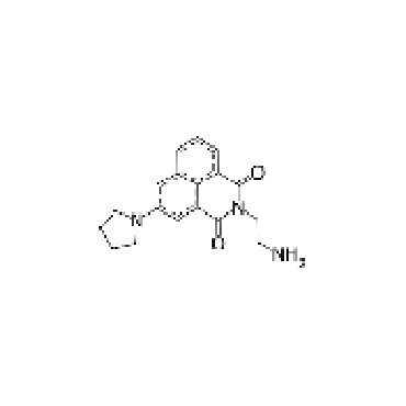 NCCN1C(=O)c2cccc3cc(N4CCCC4)cc(c23)C1=O